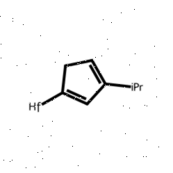 CC(C)C1=CC[C]([Hf])=C1